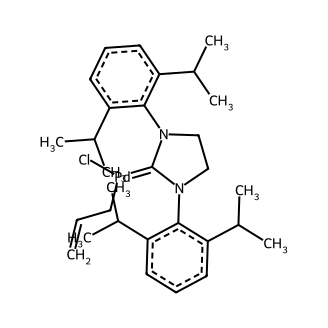 C=C[CH2][Pd]([Cl])=[C]1N(c2c(C(C)C)cccc2C(C)C)CCN1c1c(C(C)C)cccc1C(C)C